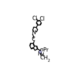 C=N/N=C(\CCC)C1=Cc2c(CCCCN3CCC(c4ccc(Cl)c(Cl)c4)CC3)cccc2C1